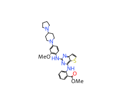 COC(=O)c1ccccc1Nc1nc(Nc2ccc(N3CCC(N4CCCC4)CC3)cc2OC)nc2ccsc12